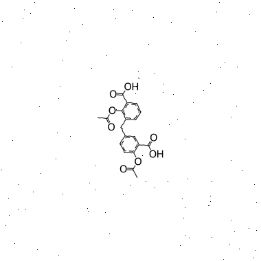 CC(=O)Oc1ccc(Cc2cccc(C(=O)O)c2OC(C)=O)cc1C(=O)O